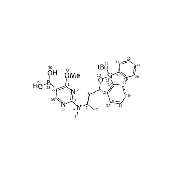 COc1nc(N(C)C(C)CCO[Si](c2ccccc2)(c2ccccc2)C(C)(C)C)ncc1B(O)O